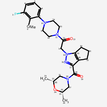 COc1c(F)cccc1N1CCN(C(=O)Cn2nc(C(=O)N3C[C@@H](C)O[C@@H](C)C3)c3c2CCC3)CC1